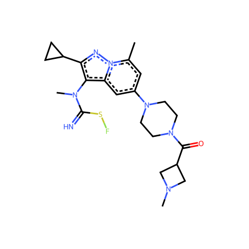 Cc1cc(N2CCN(C(=O)C3CN(C)C3)CC2)cc2c(N(C)C(=N)SF)c(C3CC3)nn12